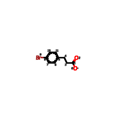 [O]C(=O)CCc1ccc(Br)cc1